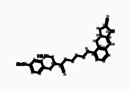 COc1ccc(CN(CC(=O)O)C(=O)CCCCOc2cccc3c2CN2CC(=O)NC2=N3)cc1